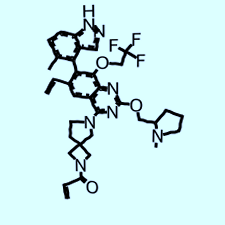 C=CC(=O)N1CC2(CCN(c3nc(OCC4CCCN4C)nc4c(OCC(F)(F)F)c(-c5c(C)ccc6[nH]ncc56)c(C=C)cc34)C2)C1